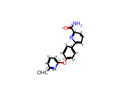 NC(=O)c1cccc(-c2ccc(Oc3cccc(C=O)n3)cc2)n1